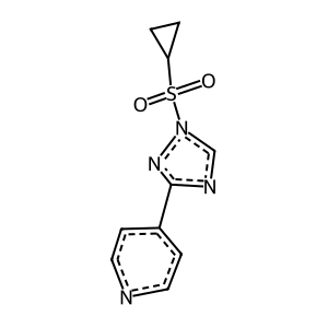 O=S(=O)(C1CC1)n1cnc(-c2ccncc2)n1